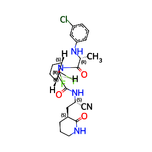 C[C@@H](Nc1cccc(Cl)c1)C(=O)N1[C@H]2CC[C@@H]([C@@H]1C(=O)N[C@H](C#N)C[C@@H]1CCCNC1=O)C(F)(F)C2